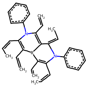 C=CC1=C(/C=C\C)N(c2ccccc2)C(C=C)=C2B1C(C=C)=C(/C=C\C)N(c1ccccc1)/C2=C/C